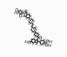 O=C1CCC(N2Cc3cc(N4CCN(CCN5CCN(c6ccc(C(=O)c7c(-c8ccc(B(O)O)cc8)sc8cc(O)ccc78)cc6)CC5)CC4)ccc3C2=O)C(=O)N1